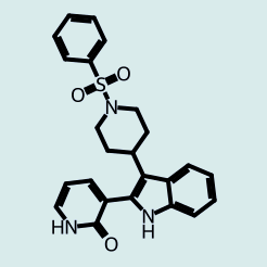 O=c1[nH]cccc1-c1[nH]c2ccccc2c1C1CCN(S(=O)(=O)c2ccccc2)CC1